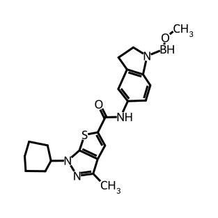 COBN1CCc2cc(NC(=O)c3cc4c(C)nn(C5CCCCC5)c4s3)ccc21